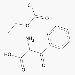 CCOC(=O)Cl.NC(C(=O)O)C(=O)c1ccccc1